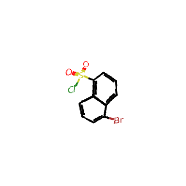 O=S(=O)(Cl)c1cccc2c(Br)cccc12